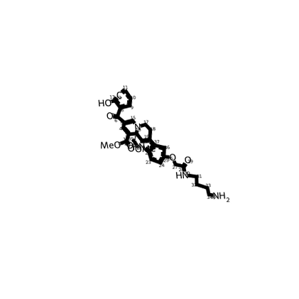 COC(=O)C1=CC(C(=O)c2ccccc2O)=CN2CCc3c([nH]c4ccc(OCC(=O)NCCCCN)cc34)[C@@]12C(=O)OC